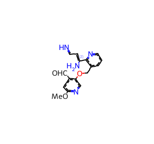 COc1cc(C=O)c(OCc2cccnc2/C(N)=C/C=N)cn1